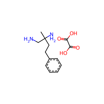 CC(N)(CN)CCc1ccccc1.O=C(O)C(=O)O